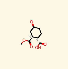 COC(=O)[C@H]1CC(=O)CC[C@@H]1C(=O)O